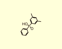 Cc1cc(C)cc(P(=O)(O)c2ccccc2)c1